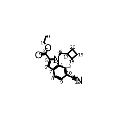 CCOC(=O)c1cc2ccc(C#N)cc2n1CC1CCC1